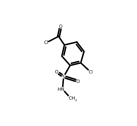 CNS(=O)(=O)c1cc(C(=O)Cl)ccc1Cl